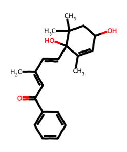 CC(C=CC1(O)C(C)=CC(O)CC1(C)C)=CC(=O)c1ccccc1